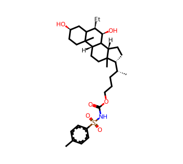 CC[C@@H]1C2C[C@H](O)CCC2(C)[C@H]2CCC3(C)[C@@H]([C@H](C)CCCOC(=O)NS(=O)(=O)c4ccc(C)cc4)CC[C@H]3C2[C@@H]1O